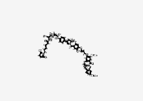 COc1ccc2c(c1)CN1C(=O)c3cc(OC)c(OCCCOc4cc5c(cc4OC)C(=O)N4C=C(c6ccc(NC(=O)[C@H](C)NC(=O)C(NC(=O)CCCCCN7C(=O)C=CC7=O)C(C)C)cc6)C[C@H]4C=N5)cc3N=C[C@@H]1C2